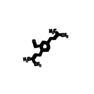 CC(C)=CCc1ccc(CC=C(C)C)c(C=O)c1